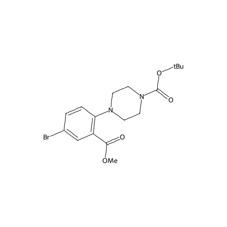 COC(=O)c1cc(Br)ccc1N1CCN(C(=O)OC(C)(C)C)CC1